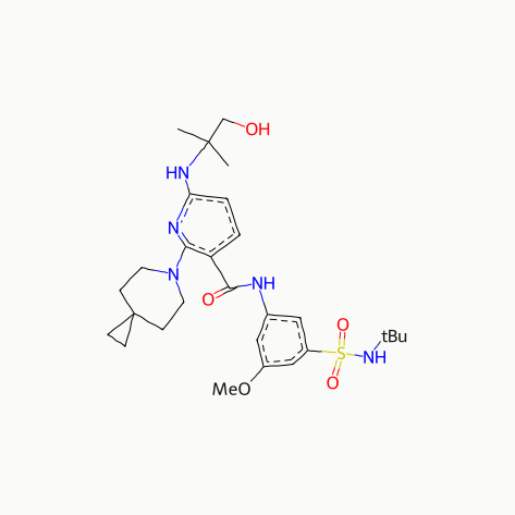 COc1cc(NC(=O)c2ccc(NC(C)(C)CO)nc2N2CCC3(CC2)CC3)cc(S(=O)(=O)NC(C)(C)C)c1